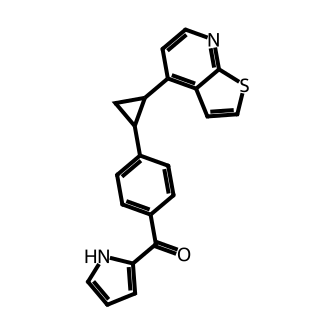 O=C(c1ccc(C2CC2c2ccnc3sccc23)cc1)c1ccc[nH]1